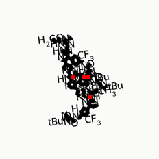 C=CC(=O)Nc1nccnc1-c1nc2c(-c3ccc(CNC(=O)c4nc(C(C)(C)C)no4)c(C(F)(F)F)c3)c(-c3cnc(-c4nc5c(-c6ccc(CNC(=O)c7nc(C(C)(C)C)no7)c(C(F)(F)F)c6)c(-c6cnc(-c7nc8c(-c9ccc(CNC(=O)c%10nc(C(C)(C)C)no%10)c(C(F)(F)F)c9)ccnc8[nH]7)c(NC(=O)C#CC)n6)cnc5[nH]4)c(NC(=O)C#CC)c3)cnc2[nH]1